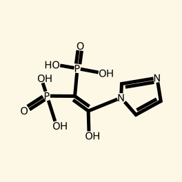 O=P(O)(O)C(=C(O)n1ccnc1)P(=O)(O)O